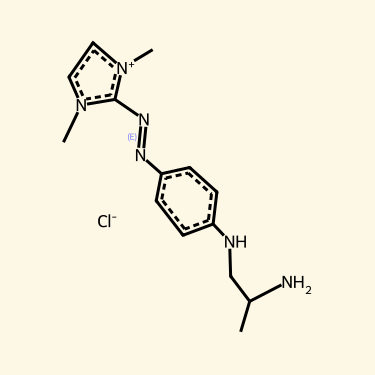 CC(N)CNc1ccc(/N=N/c2n(C)cc[n+]2C)cc1.[Cl-]